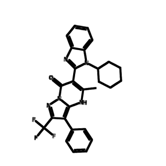 Cc1[nH]c2c(-c3ccccc3)c(C(F)(F)F)nn2c(=O)c1-c1nc2ccccc2n1C1CCCCC1